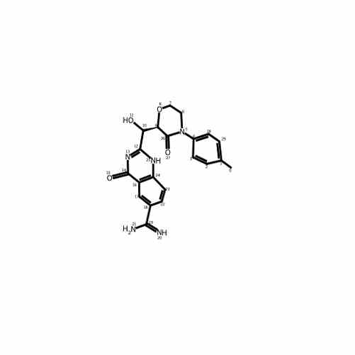 Cc1ccc(N2CCO[C@H](C(O)c3nc(=O)c4cc(C(=N)N)ccc4[nH]3)C2=O)cc1